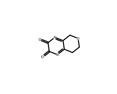 O=C1N=C2CCOCC2=NC1=O